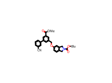 COC(=O)c1cc(COc2ccc3c(c2)CN(C(=O)OC(C)(C)C)C3)cc(-c2cccc(C#N)c2)c1